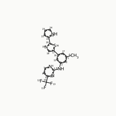 Cc1cc(Nc2nccc(C(F)(F)F)n2)cc(-c2cnc(-c3ccc[nH]3)s2)c1